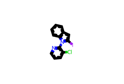 Clc1cccnc1-n1c(I)cc2ccccc21